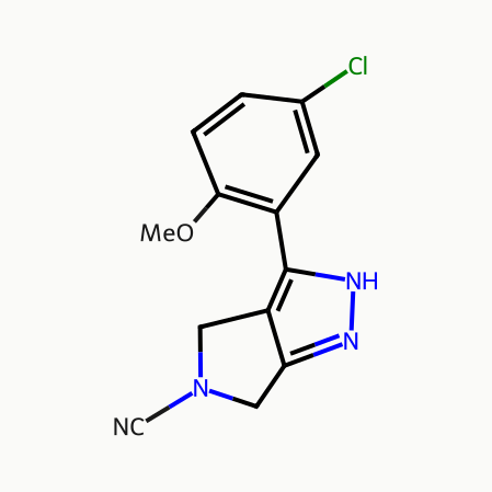 COc1ccc(Cl)cc1-c1[nH]nc2c1CN(C#N)C2